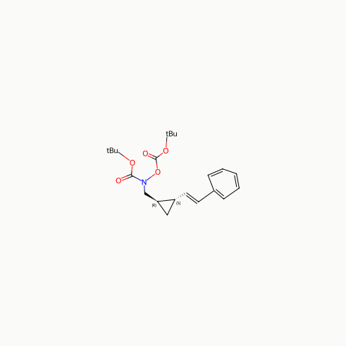 CC(C)(C)OC(=O)ON(C[C@@H]1C[C@H]1C=Cc1ccccc1)C(=O)OC(C)(C)C